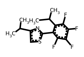 CC(C)c1csc(-c2c(F)c(F)c(F)c(F)c2C(C)C)n1